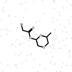 CC1COCC(OC(=O)CBr)O1